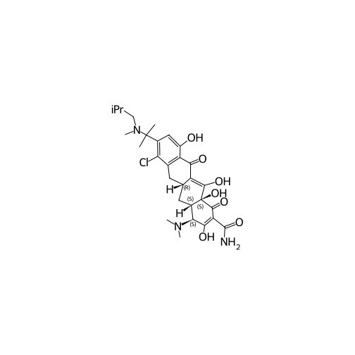 CC(C)CN(C)C(C)(C)c1cc(O)c2c(c1Cl)C[C@H]1C[C@H]3[C@H](N(C)C)C(O)=C(C(N)=O)C(=O)[C@@]3(O)C(O)=C1C2=O